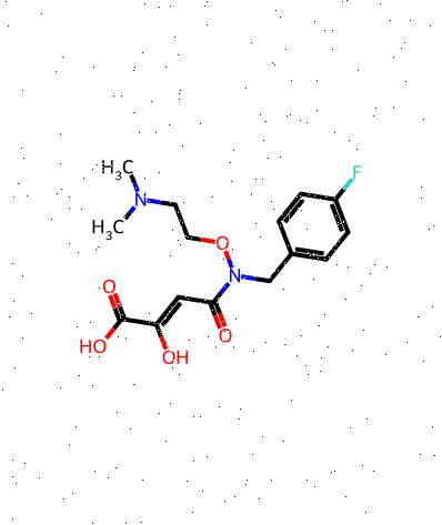 CN(C)CCON(Cc1ccc(F)cc1)C(=O)C=C(O)C(=O)O